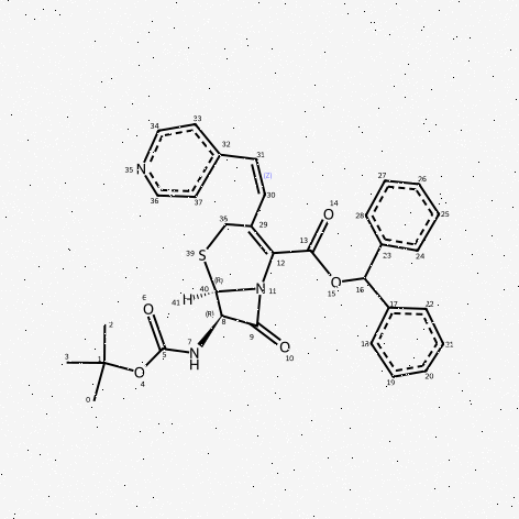 CC(C)(C)OC(=O)N[C@@H]1C(=O)N2C(C(=O)OC(c3ccccc3)c3ccccc3)=C(/C=C\c3ccncc3)CS[C@H]12